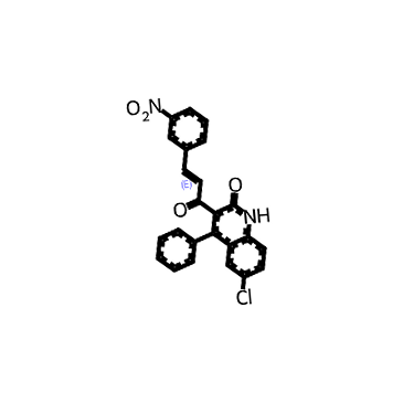 O=C(/C=C/c1cccc([N+](=O)[O-])c1)c1c(-c2ccccc2)c2cc(Cl)ccc2[nH]c1=O